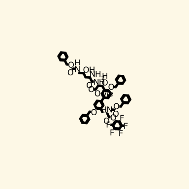 COC(=O)[C@@H](NC(=O)[C@@H](N)C[C@@H](O)CNC(=O)OCc1ccccc1)[C@H](O)c1cc(-c2ccc(OCc3ccccc3)c(C[C@H](NC(=O)OCc3ccccc3)C(=O)Oc3c(F)c(F)c(F)c(F)c3F)c2)ccc1OCc1ccccc1